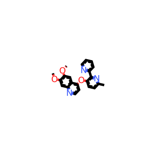 COc1cc2nccc(Oc3ccc(C)nc3-c3ccccn3)c2cc1OC